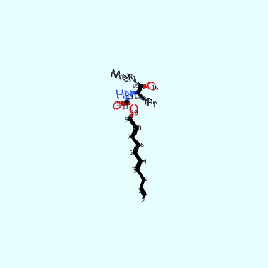 C=CCCCCCCCCOC(=O)NC(C(=O)NC)C(C)C